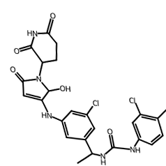 Cc1ccc(NC(=O)NC(C)c2cc(Cl)cc(NC3=CC(=O)N(C4CCC(=O)NC4=O)C3O)c2)cc1Cl